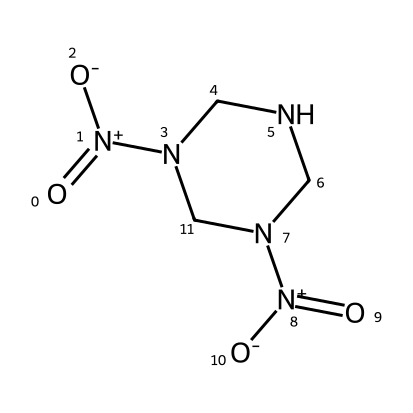 O=[N+]([O-])N1CNCN([N+](=O)[O-])C1